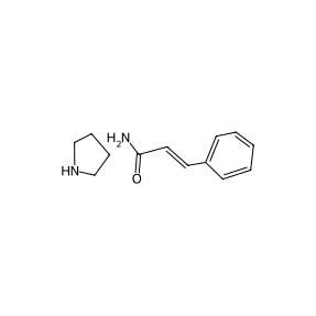 C1CCNC1.NC(=O)C=Cc1ccccc1